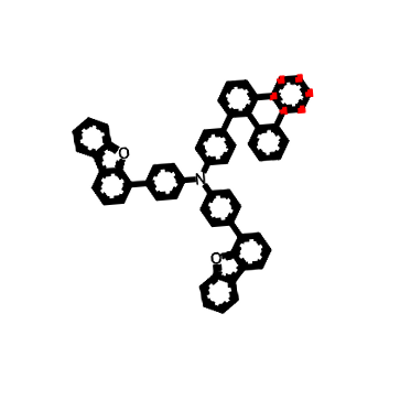 c1ccc(-c2ccccc2-c2c(-c3ccccc3)cccc2-c2ccc(N(c3ccc(-c4cccc5c4oc4ccccc45)cc3)c3ccc(-c4cccc5c4oc4ccccc45)cc3)cc2)cc1